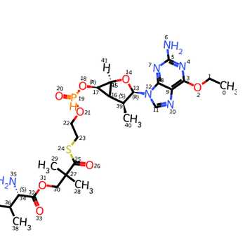 CCOc1nc(N)nc2c1ncn2[C@@H]1O[C@H]2C([C@H]2O[PH](=O)OCCSC(=O)C(C)(C)COC(=O)[C@@H](N)C(C)C)[C@@H]1C